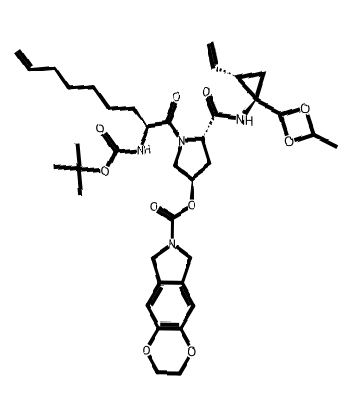 C=CCCCCC[C@H](NC(=O)OC(C)(C)C)C(=O)N1C[C@H](OC(=O)N2Cc3cc4c(cc3C2)OCCO4)C[C@H]1C(=O)N[C@]1(C2OC(C)O2)C[C@H]1C=C